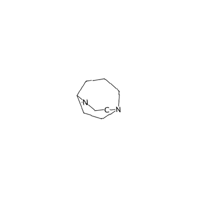 C1CC2CCN(C1)CC[N]2